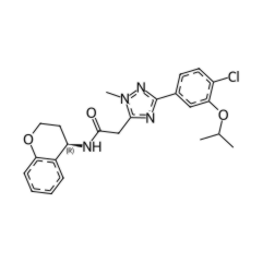 CC(C)Oc1cc(-c2nc(CC(=O)N[C@@H]3CCOc4ccccc43)n(C)n2)ccc1Cl